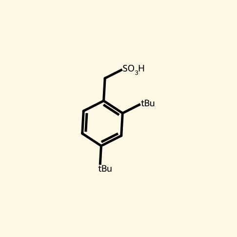 CC(C)(C)c1ccc(CS(=O)(=O)O)c(C(C)(C)C)c1